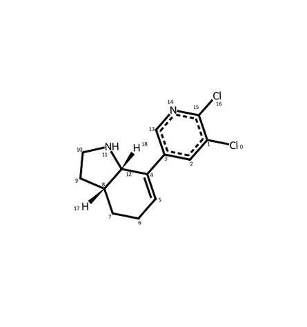 Clc1cc(C2=CCC[C@@H]3CCN[C@H]23)cnc1Cl